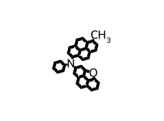 Cc1ccc2ccc3c(N(c4ccccc4)c4cc5ccc6cccc7oc(c4)c5c67)ccc4ccc1c2c43